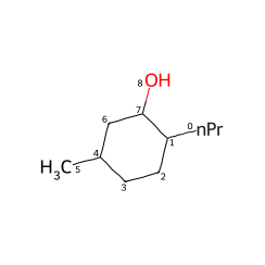 CCCC1CCC(C)CC1O